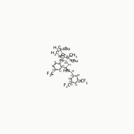 CC(C)(C)C(C)(C)OCN1c2ccc(C(F)(F)F)cc2[C@@H](NCc2cc(C(F)(F)F)cc(C(F)(F)F)c2)C[C@H]1C(C)(C)C(C)(C)C